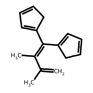 C=C(C)C(C)=C(C1=CC=CC1)C1=CC=CC1